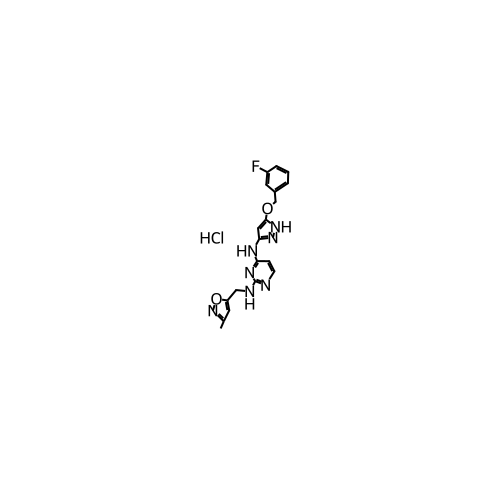 Cc1cc(CNc2nccc(Nc3cc(OCc4cccc(F)c4)[nH]n3)n2)on1.Cl